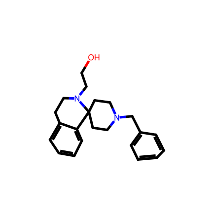 OCCN1CCc2ccccc2C12CCN(Cc1ccccc1)CC2